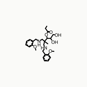 CCC(=O)OC(C(O)CO)C(C)(CNCc1ccccc1OC)CNCc1ccccc1OC